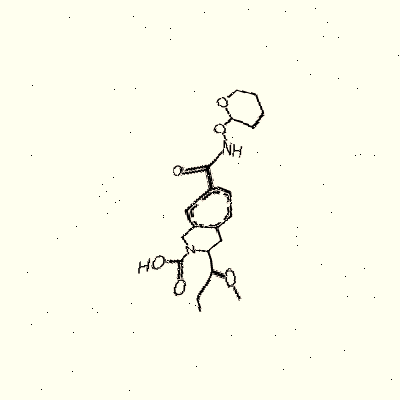 CCC(OC)C1Cc2ccc(C(=O)NOC3CCCCO3)cc2CN1C(=O)O